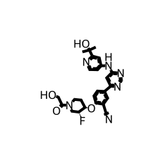 CC(C)(O)c1cc(Nc2cc(-c3ccc(O[C@H]4CCN(C(=O)CO)C[C@H]4F)c(C#N)c3)ncn2)ccn1